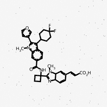 CN1C(C2(NC(=O)c3ccc4c(C5CCC(F)(F)CC5)c(-c5ccoc5)n(C)c4c3)CCC2)=NC2C=CC(/C=C/C(=O)O)=CC21